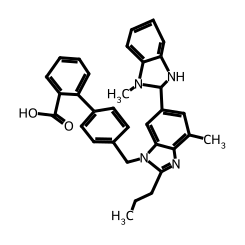 CCCc1nc2c(C)cc(C3Nc4ccccc4N3C)cc2n1Cc1ccc(-c2ccccc2C(=O)O)cc1